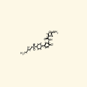 CCNCCS(=O)(=O)N1CCN(c2ccc(Cl)c(NC(=O)c3coc(N)n3)c2)CC1